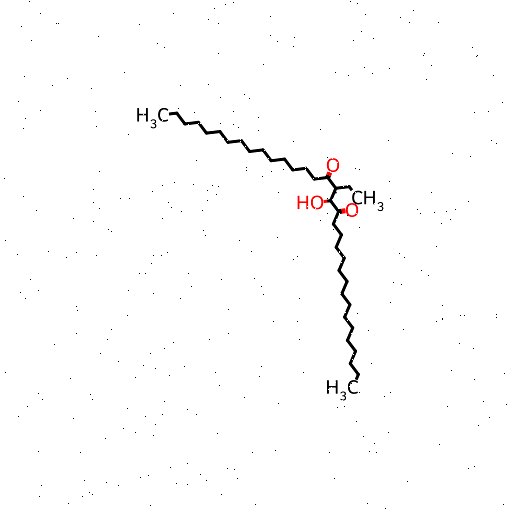 CCCCCCCCCCCCCCCC(=O)[C](CC)C(O)C(=O)CCCCCCCCCCCCCCC